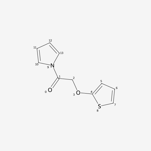 O=C(COc1cccs1)n1cccc1